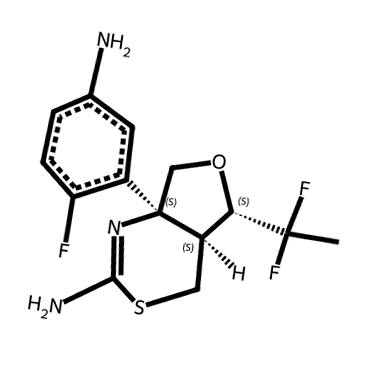 CC(F)(F)[C@H]1OC[C@]2(c3cc(N)ccc3F)N=C(N)SC[C@H]12